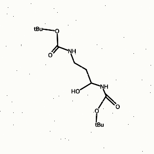 CC(C)(C)OC(=O)NCCC(O)NC(=O)OC(C)(C)C